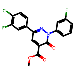 COC(=O)c1cc(-c2ccc(Cl)c(F)c2)nn(-c2cccc(F)c2)c1=O